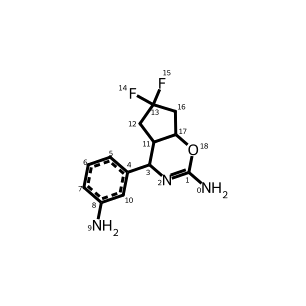 NC1=NC(c2cccc(N)c2)C2CC(F)(F)CC2O1